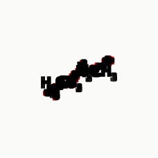 CC1(C)c2cc(C3=CC(c4cc(-c5ccccc5)nc(-c5ccc(-c6ccc7ccc8c(-c9ccc(-c%10ccc%11c(c%10)C(C)(C)c%10cc(-c%12cccc(-c%13nc(-c%14ccccc%14)cc(-c%14ccccc%14)n%13)c%12)ccc%10-%11)c%10ccccc9%10)ccc9ccc6c7c98)cc5)n4)=CCC3)ccc2-c2ccc(-c3cccc(-c4ccc5ccc6cccc7ccc4c5c67)c3)cc21